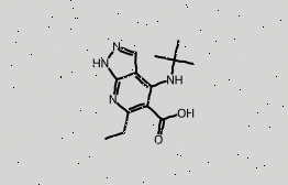 CCc1nc2[nH]ncc2c(NC(C)(C)C)c1C(=O)O